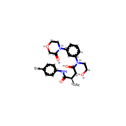 CCc1ccc(NC(=O)[C@H](OC(C)=O)[C@H]2OCCN(c3cccc(N4CCOCC4=O)c3)C2=O)cc1